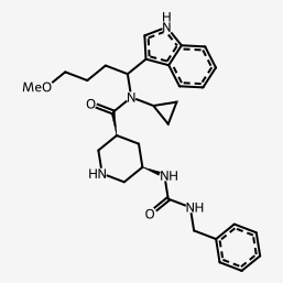 COCCCC(c1c[nH]c2ccccc12)N(C(=O)[C@@H]1CNC[C@H](NC(=O)NCc2ccccc2)C1)C1CC1